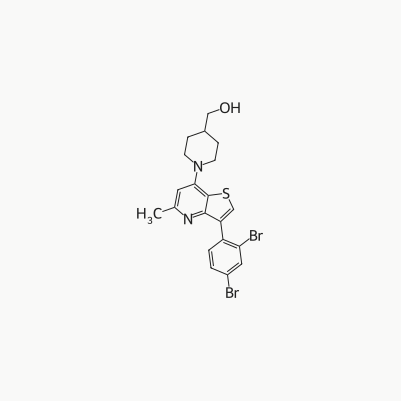 Cc1cc(N2CCC(CO)CC2)c2scc(-c3ccc(Br)cc3Br)c2n1